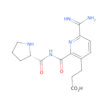 N=C(N)c1ccc(CCC(=O)O)c(C(=O)NC(=O)[C@@H]2CCCN2)n1